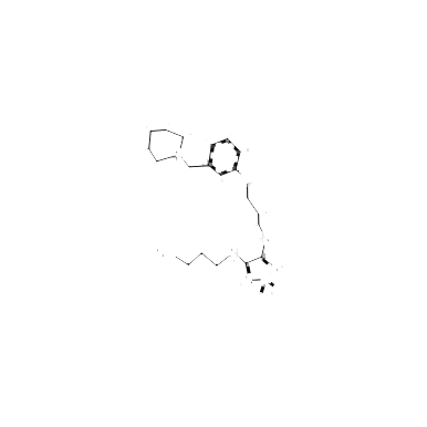 N#CCCCNC1=NS(=O)(=O)N=C1NCCCOc1cccc(CN2CCCCC2)c1